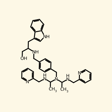 CC(NCc1ccccn1)N(Cc1ccc(CNC(CO)Cc2c[nH]c3ccccc23)cc1)C(C)NCc1ccccn1